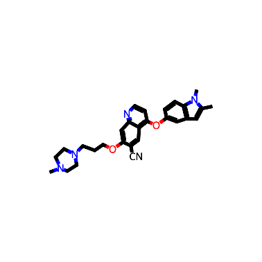 Cc1cc2cc(Oc3ccnc4cc(OCCCN5CCN(C)CC5)c(C#N)cc34)ccc2n1C